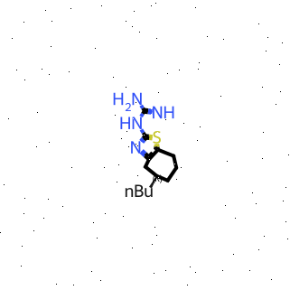 CCCC[C@@H]1CCCc2sc(NC(=N)N)nc2C1